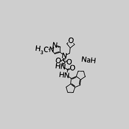 Cn1cc(N(CC2COC2)S(=O)(=O)NC(=O)Nc2c3c(cc4c2CCC4)CCC3)cn1.[NaH]